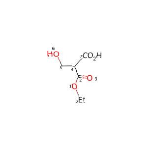 CCOC(=O)C(CO)C(=O)O